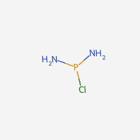 NP(N)Cl